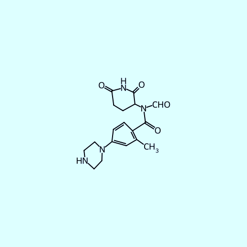 Cc1cc(N2CCNCC2)ccc1C(=O)N(C=O)C1CCC(=O)NC1=O